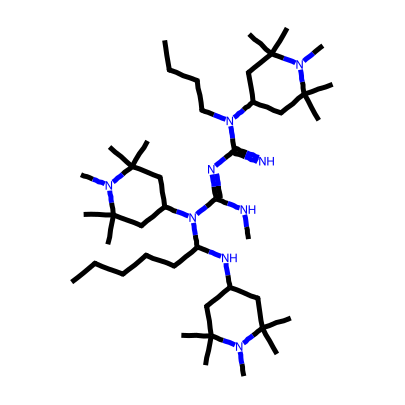 CCCCCC(NC1CC(C)(C)N(C)C(C)(C)C1)N(/C(=N/C(=N)N(CCCC)C1CC(C)(C)N(C)C(C)(C)C1)NC)C1CC(C)(C)N(C)C(C)(C)C1